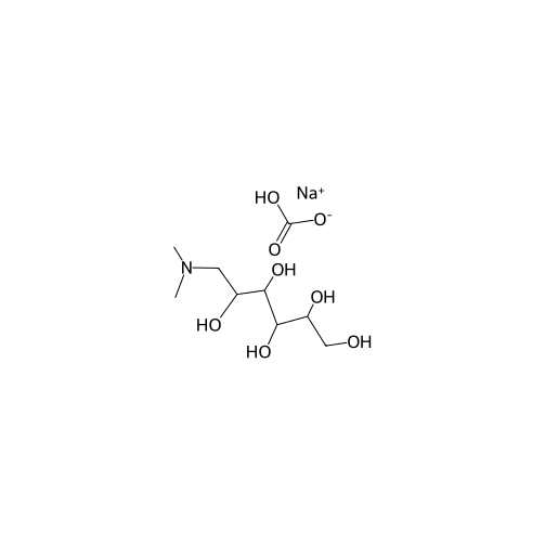 CN(C)CC(O)C(O)C(O)C(O)CO.O=C([O-])O.[Na+]